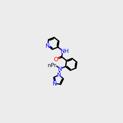 CCCN(c1ccccc1C(=O)Nc1cccnc1)n1ccnc1